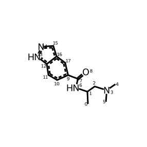 CC(CN(C)C)NC(=O)c1ccc2[nH]ncc2c1